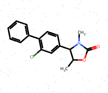 CC1OC(=O)N(C)C1c1ccc(-c2ccccc2)c(Cl)c1